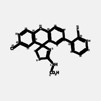 O=C(O)NC1=NC2(CS1)c1cc(-c3cccnc3F)ccc1Oc1cnc(Cl)cc12